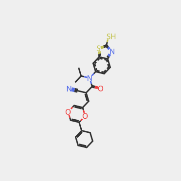 CC(C)N(C(=O)C(C#N)=CC1=COC=C(C2=CC=CCC2)O1)c1ccc2nc(S)sc2c1